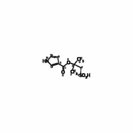 O=C(OC(CS(=O)(=O)O)(C(F)(F)F)C(F)(F)F)c1cc[nH]c1